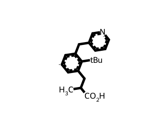 CC(Cc1c[c]cc(Cc2cccnc2)c1C(C)(C)C)C(=O)O